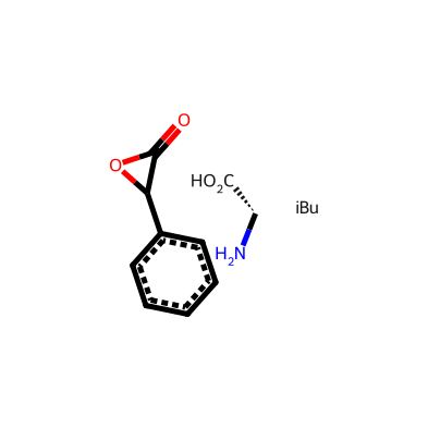 CC[C@H](C)[C@H](N)C(=O)O.O=C1OC1c1ccccc1